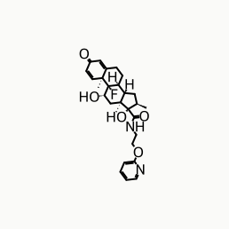 C[C@@H]1C[C@H]2[C@@H]3CCC4=CC(=O)C=C[C@]4(C)[C@@]3(F)[C@@H](O)C[C@]2(C)[C@@]1(O)C(=O)NCCOc1ccccn1